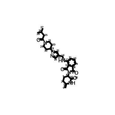 C=C1CCC(N2C(=O)c3cccc(NCc4cnn(C5CCN(C(=O)CC(C)C)CC5)c4)c3C2=O)C(=O)N1